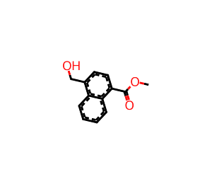 COC(=O)c1ccc(CO)c2ccccc12